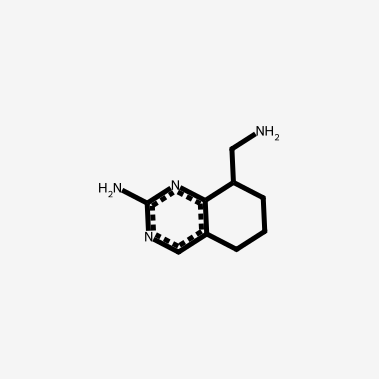 NCC1CCCc2cnc(N)nc21